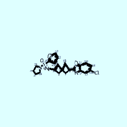 O=S(=NC1CC2(C1)CC(c1nc3cc(Cl)ccc3o1)C2)(c1ccco1)N1CCCC1